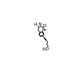 CN1C(=O)[C@@H](N)CCc2ccc(C#CCCCO)cc21